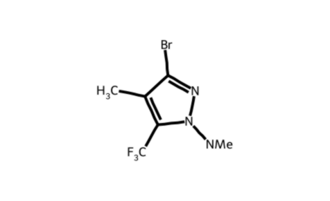 CNn1nc(Br)c(C)c1C(F)(F)F